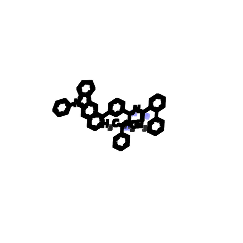 C\C=C(/N=C(\C(C)=C(/C)c1ccccc1)c1cccc(-c2cccc3cc4c(cc23)c2ccccc2n4-c2ccccc2)c1)c1ccccc1-c1ccccc1